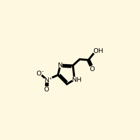 O=C(O)Cc1nc([N+](=O)[O-])c[nH]1